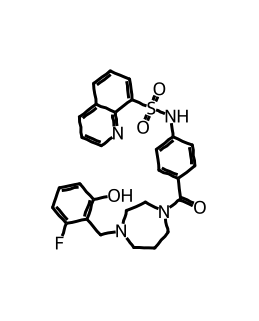 O=C(c1ccc(NS(=O)(=O)c2cccc3cccnc23)cc1)N1CCCN(Cc2c(O)cccc2F)CC1